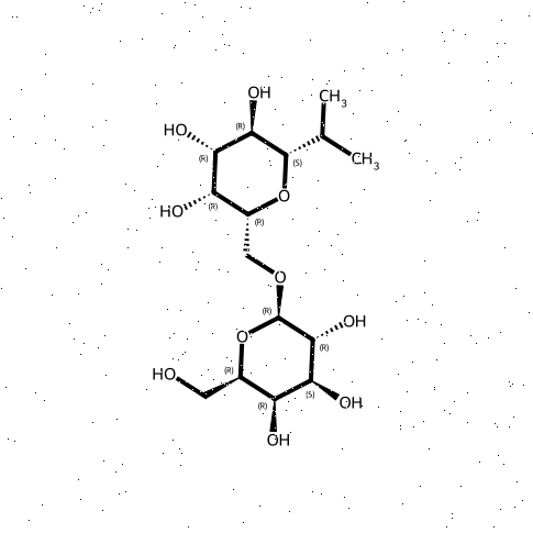 CC(C)[C@@H]1O[C@H](CO[C@@H]2O[C@H](CO)[C@H](O)[C@H](O)[C@H]2O)[C@H](O)[C@H](O)[C@H]1O